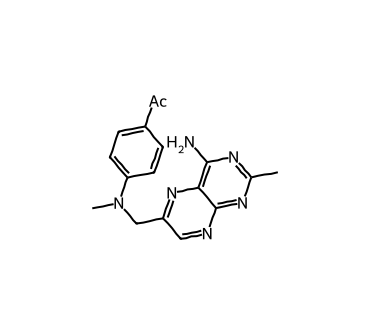 CC(=O)c1ccc(N(C)Cc2cnc3nc(C)nc(N)c3n2)cc1